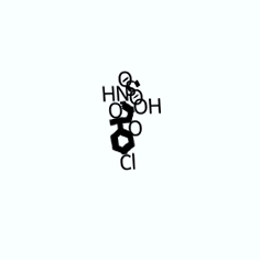 CC1(c2ccc(Cl)cc2)OC(NS(C)(=O)=O)=C(O)C1=O